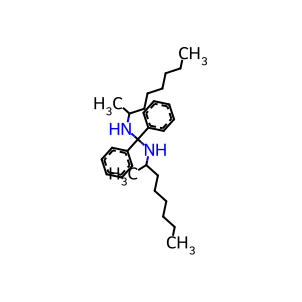 CCCCCCC(C)NC(NC(C)CCCCCC)(c1ccccc1)c1ccccc1